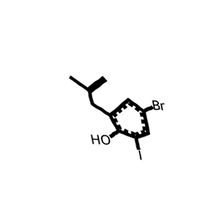 C=C(C)Cc1cc(Br)cc(I)c1O